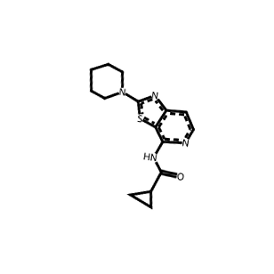 O=C(Nc1nccc2nc(N3CCCCC3)sc12)C1CC1